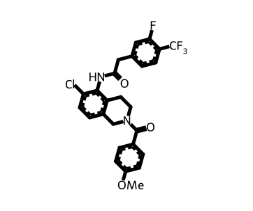 COc1ccc(C(=O)N2CCc3c(ccc(Cl)c3NC(=O)Cc3ccc(C(F)(F)F)c(F)c3)C2)cc1